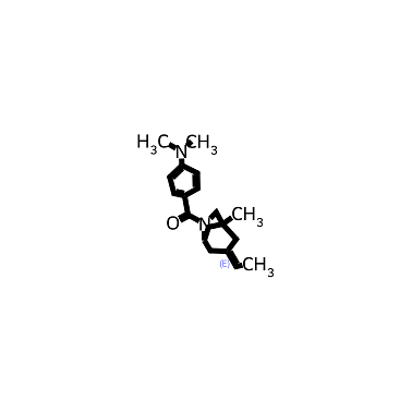 C/C=C1/CC2CC(C)(C1)CN2C(=O)c1ccc(N(C)C)cc1